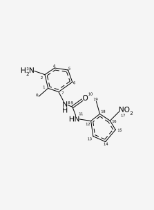 Cc1c(N)cccc1NC(=O)Nc1cccc([N+](=O)[O-])c1C